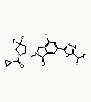 O=C1c2cc(-c3nnc(C(F)F)o3)cc(F)c2CN1C[C@H]1CC(F)(F)CN1C(=O)C1CC1